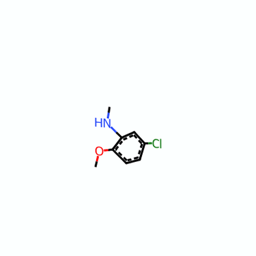 CNc1cc(Cl)ccc1OC